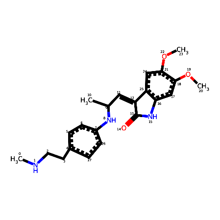 CNCCc1ccc(NC(C)C=C2C(=O)Nc3cc(OC)c(OC)cc32)cc1